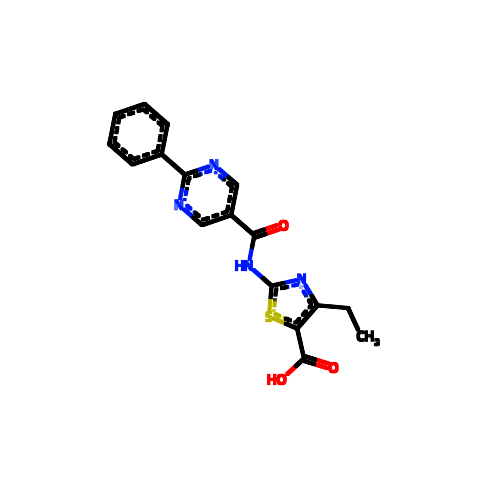 CCc1nc(NC(=O)c2cnc(-c3ccccc3)nc2)sc1C(=O)O